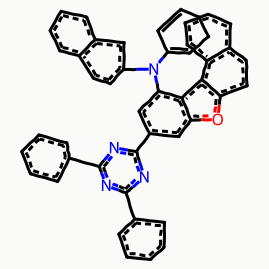 C1=CC(N(c2ccc3ccccc3c2)c2cc(-c3nc(-c4ccccc4)nc(-c4ccccc4)n3)cc3oc4ccc5ccccc5c4c23)=CCC1